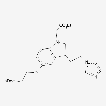 CCCCCCCCCCCCOc1ccc2c(c1)C(CCn1ccnc1)CN2CC(=O)OCC